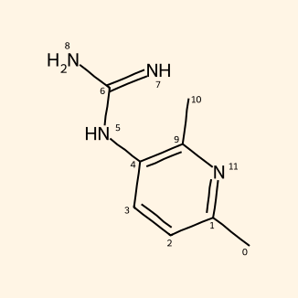 Cc1ccc(NC(=N)N)c(C)n1